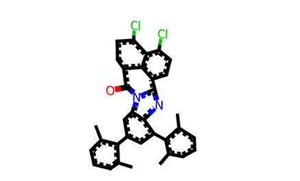 Cc1cccc(C)c1-c1cc(-c2c(C)cccc2C)c2nc3c4ccc(Cl)c5c(Cl)ccc(c(=O)n3c2c1)c54